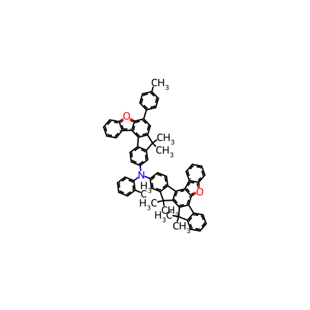 Cc1ccc(-c2cc3c(c4c2oc2ccccc24)-c2ccc(N(c4ccc5c(c4)C(C)(C)c4c6c(c7oc8ccccc8c7c4-5)-c4ccccc4C6(C)C)c4ccccc4C)cc2C3(C)C)cc1